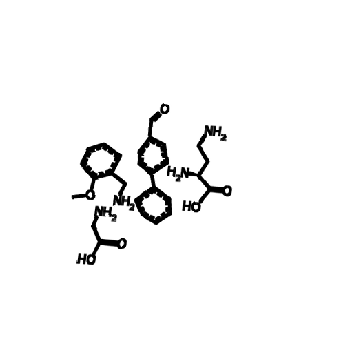 COc1ccccc1CN.NCC(=O)O.NCC[C@H](N)C(=O)O.O=Cc1ccc(-c2ccccc2)cc1